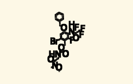 CON(C)C(=O)CNC(=O)OCc1c(Br)cc(OCc2ccccc2)c(NC(=O)C(F)(F)F)c1F